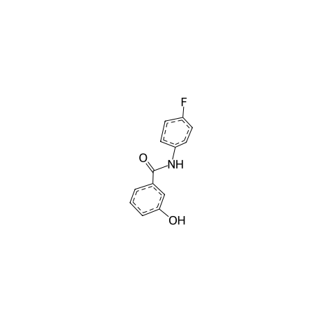 O=C(Nc1ccc(F)cc1)c1cccc(O)c1